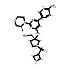 C[C@H]1COCCN1c1nc(N[C@@]2(CO)CCN(C(=O)C3COC3)C2)cc(-c2cnc(N)nc2)n1